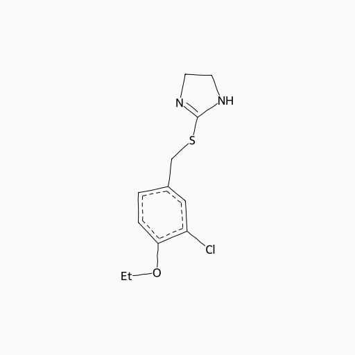 CCOc1ccc(CSC2=NCCN2)cc1Cl